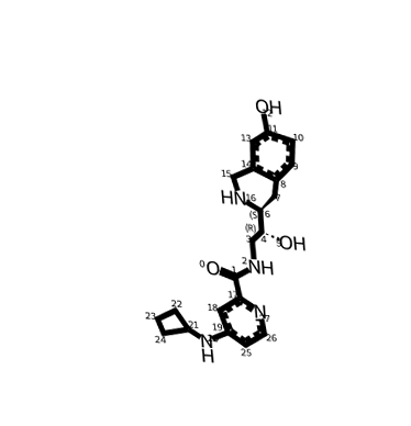 O=C(NC[C@@H](O)[C@@H]1Cc2ccc(O)cc2CN1)c1cc(NC2CCC2)ccn1